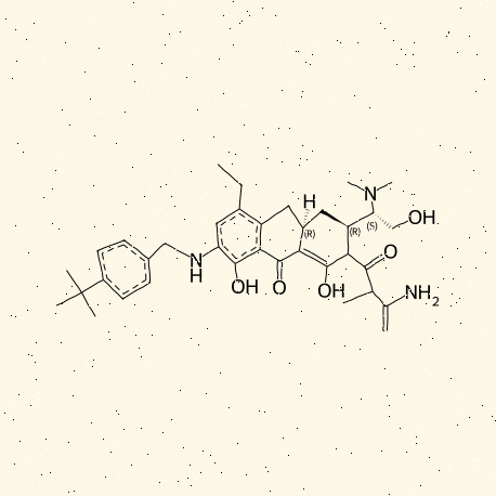 C=C(N)C(C)C(=O)C1C(O)=C2C(=O)c3c(O)c(NCc4ccc(C(C)(C)C)cc4)cc(CC)c3C[C@H]2C[C@H]1[C@@H](CO)N(C)C